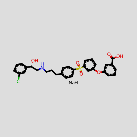 O=C(O)c1cccc(Oc2cccc(S(=O)(=O)c3ccc(CCCNC[C@@H](O)c4cccc(Cl)c4)cc3)c2)c1.[NaH]